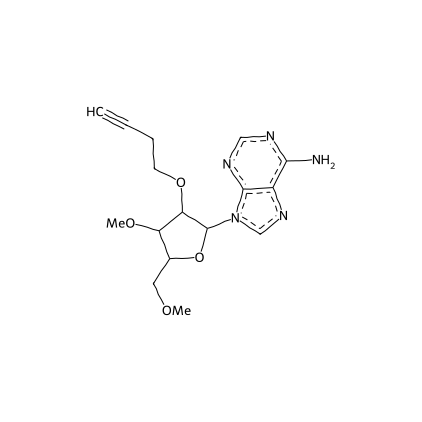 C#CCCOC1C(OC)C(COC)OC1n1cnc2c(N)ncnc21